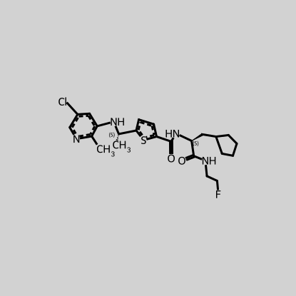 Cc1ncc(Cl)cc1N[C@@H](C)c1ccc(C(=O)N[C@@H](CC2CCCC2)C(=O)NCCF)s1